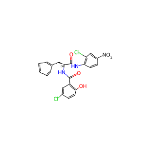 O=C(N[C@@H](Cc1ccccc1)C(=O)Nc1ccc([N+](=O)[O-])cc1Cl)c1cc(Cl)ccc1O